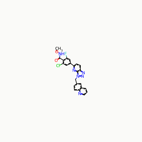 CONC(=O)c1c(F)cc(-c2ccc3nnn(Cc4ccc5ncccc5c4)c3n2)cc1Cl